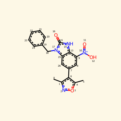 Cc1noc(C)c1-c1cc([N+](=O)O)c2[nH]c(=O)n(Cc3ccccc3)c2c1